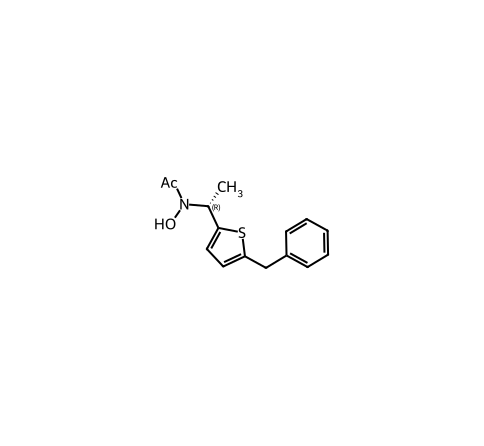 CC(=O)N(O)[C@H](C)c1ccc(Cc2ccccc2)s1